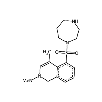 CNN1C=C(C)c2c(cccc2S(=O)(=O)N2CCCNCC2)C1